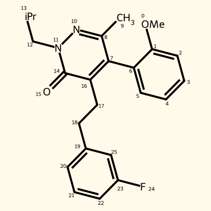 COc1ccccc1-c1c(C)nn(CC(C)C)c(=O)c1CCc1cccc(F)c1